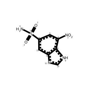 NS(=O)(=O)c1cc([N+](=O)[O-])c2[nH]cnc2c1